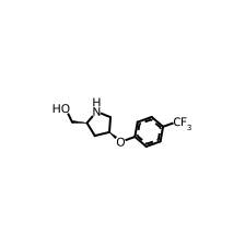 OC[C@@H]1C[C@H](Oc2ccc(C(F)(F)F)cc2)CN1